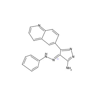 NC1=NN=C(c2ccc3ncccc3c2)/C1=N\Nc1ccccc1